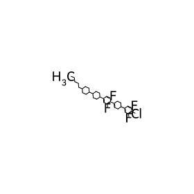 CCCCCC1CCC(C2CCC(c3cc(F)c(C4=CCC(c5cc(F)c(Cl)c(F)c5)CC4)c(F)c3)CC2)CC1